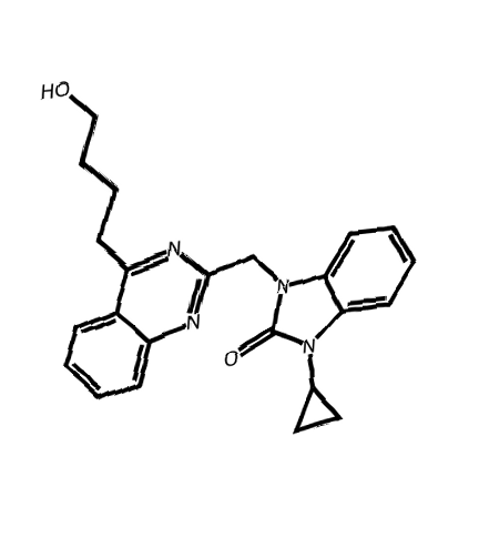 O=c1n(Cc2nc(CCCCO)c3ccccc3n2)c2ccccc2n1C1CC1